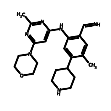 Cc1nc(Nc2cc(C3CCNCC3)c(C)cc2C=N)cc(N2CCOCC2)n1